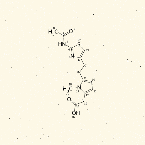 CC(=O)Nc1nc(CCc2ccc(CC(=O)O)n2C)cs1